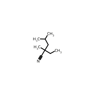 CCC(C)(C#N)CC(C)C